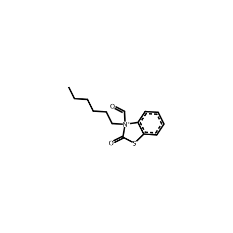 CCCCCC[N+]1(C=O)C(=O)Sc2ccccc21